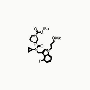 COCCCn1cc(CN(C(=O)[C@H]2CN(C(=O)OC(C)(C)C)CCO2)C2CC2)c2c(F)cccc21